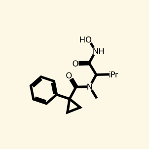 CC(C)C(C(=O)NO)N(C)C(=O)C1(c2ccccc2)CC1